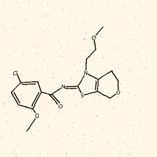 COCCn1c2c(s/c1=N\C(=O)c1cc(Cl)ccc1OC)COCC2